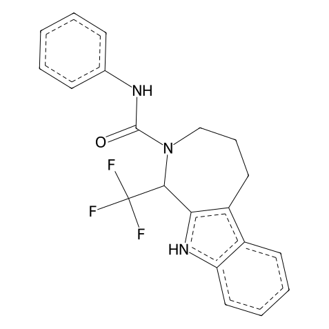 O=C(Nc1ccccc1)N1CCCc2c([nH]c3ccccc23)C1C(F)(F)F